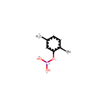 Cc1ccc(C(C)(C)C)c(OP(O)O)c1